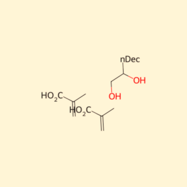 C=C(C)C(=O)O.C=C(C)C(=O)O.CCCCCCCCCCC(O)CO